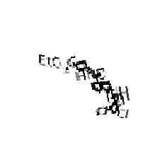 CCOC(=O)c1ccc(CNC(=O)c2cccc3cc(NS(=O)(=O)c4cc(Cl)cc(Cl)c4)ccc23)cc1